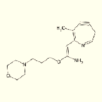 CC1=C(/C=C(\N)OCCCN2CCOCC2)N=CCC#C1